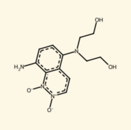 Nc1ccc(N(CCO)CCO)c2cc[n+]([O-])[n+]([O-])c12